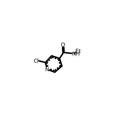 CCNC(=O)c1ccnc(Cl)c1